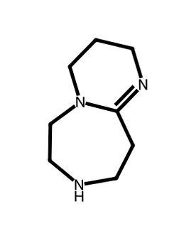 C1CN=C2CCNCCN2C1